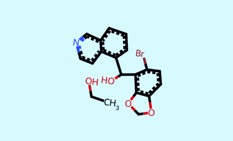 CCO.OC(c1c(Br)ccc2c1OCO2)c1cccc2cnccc12